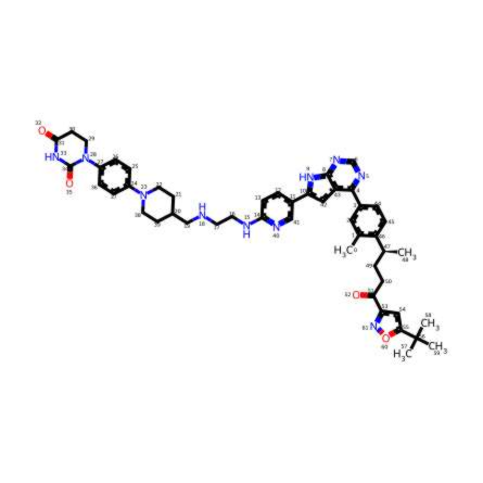 Cc1cc(-c2ncnc3[nH]c(-c4ccc(NCCNCC5CCN(c6ccc(N7CCC(=O)NC7=O)cc6)CC5)nc4)cc23)ccc1[C@@H](C)CCC(=O)c1cc(C(C)(C)C)on1